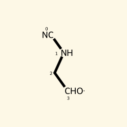 N#CNC[C]=O